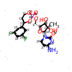 C[C@@]1(O)[C@H](O)[C@@H](COP2(=O)OCCC(c3cc(F)cc(F)c3)O2)O[C@H]1n1ccc(N)nc1=O